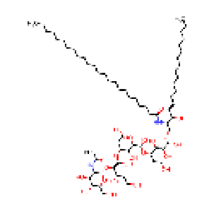 CCCCCCCCCCCCC/C=C/[C@@H](O)C(CO[C@H](O)/C(O)=C(\O)[C@@H](CCO)O[C@H](O)C(O)C(O)[C@H](CCO)O/C(O)=C(\O[C@@H]1OC(CO)[C@H](O)C(O)C1NC(C)=O)[C@@H](O)CCO)NC(=O)CCCCCCCCCCCCCCCCCCCCCCC